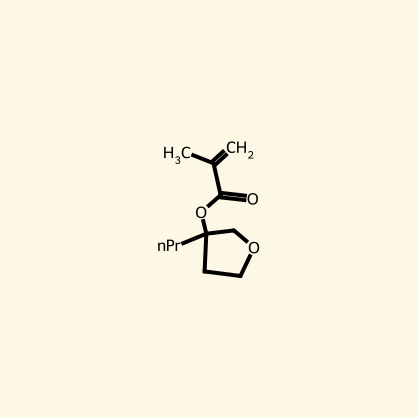 C=C(C)C(=O)OC1(CCC)CCOC1